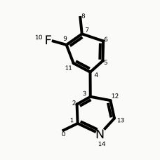 Cc1cc(-c2ccc(C)c(F)c2)ccn1